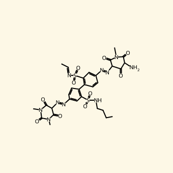 CC=NS(=O)(=O)c1cc(N=NC2C(=O)C(N)C(=O)N(C)C2=O)ccc1-c1ccc(N=NC2C(=O)N(C)C(=O)N(C)C2=O)cc1S(=O)(=O)NCCCC